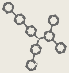 c1ccc(-c2ccc(-c3ccc(N(c4ccc(-c5ccccn5)cc4)c4cc(-c5ccccc5)cc(-c5ccccc5)c4)cc3)cc2)cc1